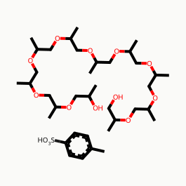 CC(O)COC(C)COC(C)COC(C)COC(C)COC(C)COC(C)COC(C)COC(C)COC(C)CO.Cc1ccc(S(=O)(=O)O)cc1